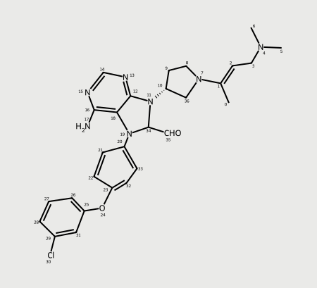 C/C(=C\CN(C)C)N1CC[C@@H](N2c3ncnc(N)c3N(c3ccc(Oc4cccc(Cl)c4)cc3)C2C=O)C1